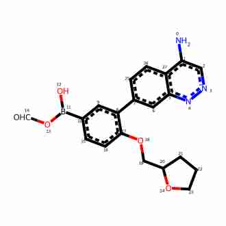 Nc1cnnc2cc(-c3cc(B(O)OC=O)ccc3OCC3CCCO3)ccc12